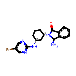 NC1c2ccccc2C(=O)N1[C@H]1CCC[C@@H](Nc2ncc(Br)cn2)C1